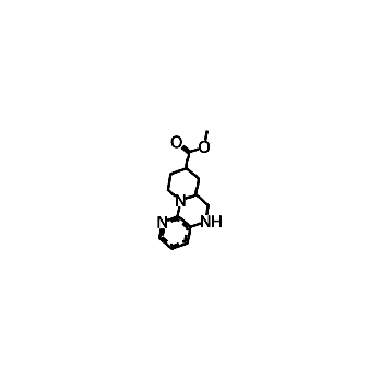 COC(=O)C1CCN2c3ncccc3NCC2C1